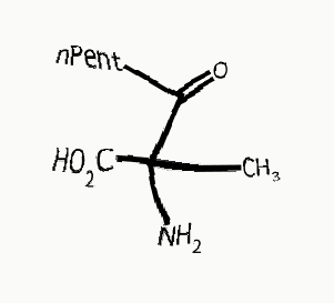 CCCCCC(=O)C(C)(N)C(=O)O